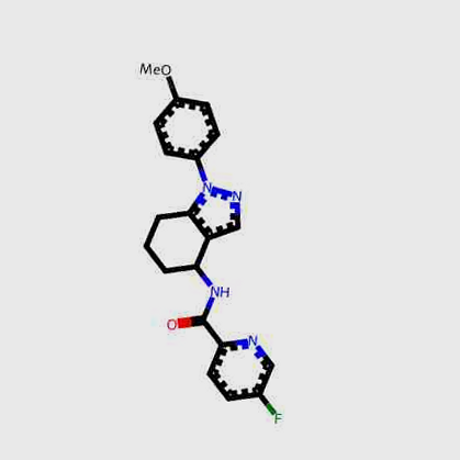 COc1ccc(-n2ncc3c2CCCC3NC(=O)c2ccc(F)cn2)cc1